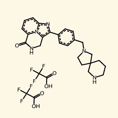 O=C(O)C(F)(F)F.O=C(O)C(F)(F)F.O=C1NCc2c(-c3ccc(CN4CCC5(CCCNC5)C4)cc3)nc3cccc1n23